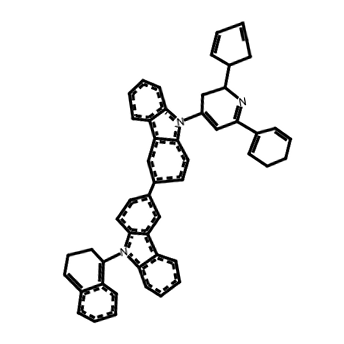 C1=CCC(C2CC(n3c4ccccc4c4cc(-c5ccc6c(c5)c5ccccc5n6C5=c6ccccc6=CCC5)ccc43)=CC(C3=CCCC=C3)=N2)C=C1